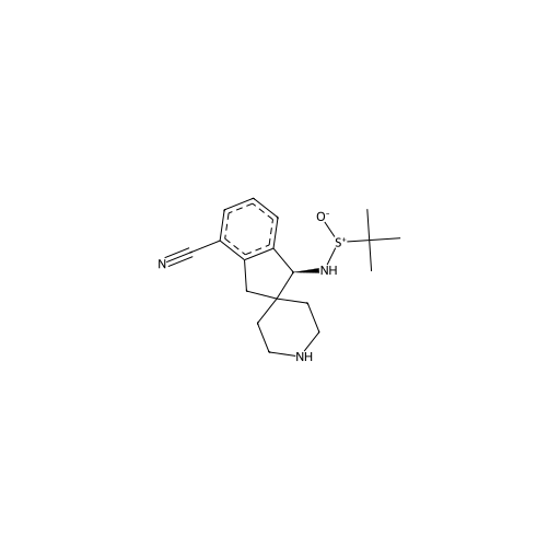 CC(C)(C)[S+]([O-])N[C@@H]1c2cccc(C#N)c2CC12CCNCC2